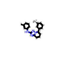 Cc1cccc(Nc2nc3cccc(-c4cccc(C(C)C)c4)n3n2)c1